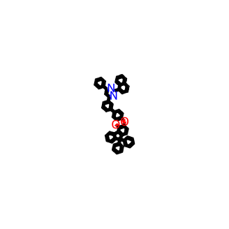 c1ccc(-c2cc(-c3cccc(-c4ccc5c(c4)Oc4c(ccc6c4-c4ccccc4C6(c4ccccc4)c4ccccc4)O5)c3)nc(-c3cccc4ccccc34)n2)cc1